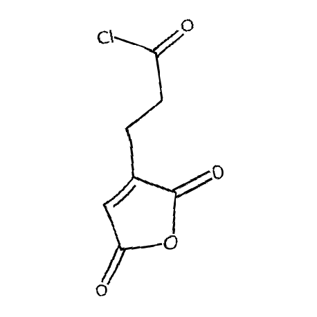 O=C(Cl)CCC1=CC(=O)OC1=O